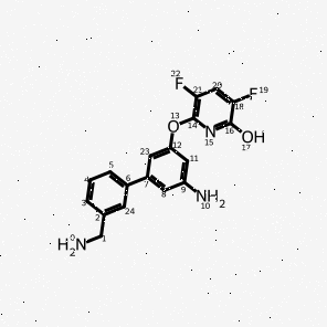 NCc1cccc(-c2cc(N)cc(Oc3nc(O)c(F)cc3F)c2)c1